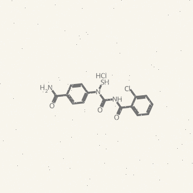 Cl.NC(=O)c1ccc(N(S)C(=O)NC(=O)c2ccccc2Cl)cc1